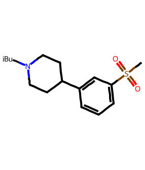 CCC(C)N1CCC(c2cccc(S(C)(=O)=O)c2)CC1